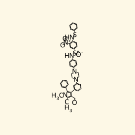 Cc1c(C=O)c(-c2cccc(N3CCN(c4ccc(N[S+]([O-])c5ccc(NSc6ccccc6)c([N+](=O)[O-])c5)cc4)CC3)c2)c(-c2ccccc2)n1C